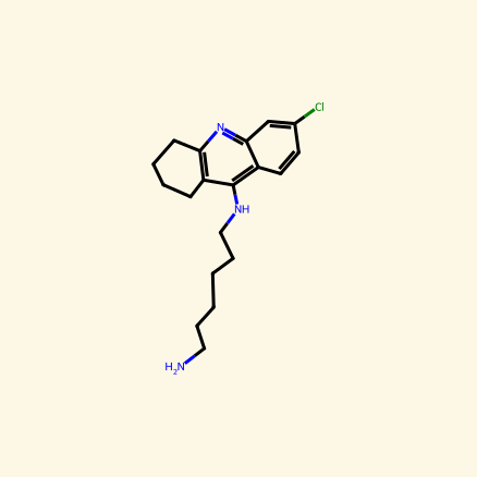 NCCCCCCNc1c2c(nc3cc(Cl)ccc13)CCCC2